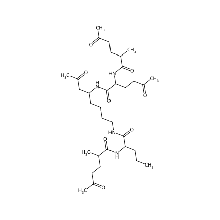 CCCC(NC(=O)C(C)CCC(C)=O)C(=O)NCCCCC(CC(C)=O)NC(=O)C(CCC(C)=O)NC(=O)C(C)CCC(C)=O